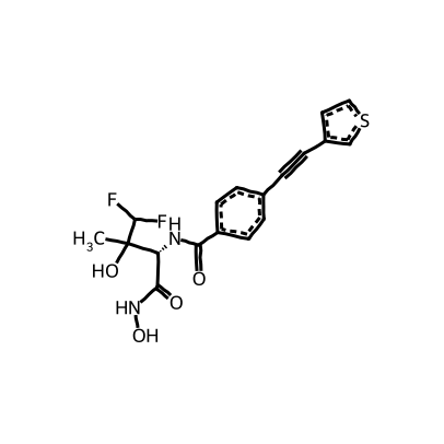 CC(O)(C(F)F)[C@H](NC(=O)c1ccc(C#Cc2ccsc2)cc1)C(=O)NO